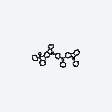 O=P1(c2ccccc2)c2ccccc2-c2cc3c(cc21)c1ccccc1n3-c1ccc(N(c2ccccc2)c2ccc3c4ccccc4n(-c4ccccc4)c3c2)cc1